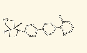 O=c1cccnn1-c1ccc(-c2ccc(N3CC[C@@H]4CNC[C@@H]43)cc2)cc1